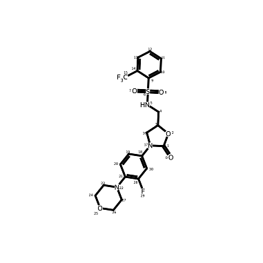 O=C1OC(CNS(=O)(=O)c2ccccc2C(F)(F)F)CN1c1ccc(N2CCOCC2)c(F)c1